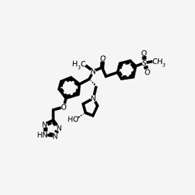 CN(C(=O)Cc1ccc(S(C)(=O)=O)cc1)[C@H](CN1CC[C@H](O)C1)c1cccc(OCc2nn[nH]n2)c1